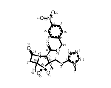 Cn1nnnc1SC[C@@]1(C)[C@H](C(=O)OCc2ccc([N+](=O)[O-])cc2)N2C(=O)C[C@H]2S1(=O)=O